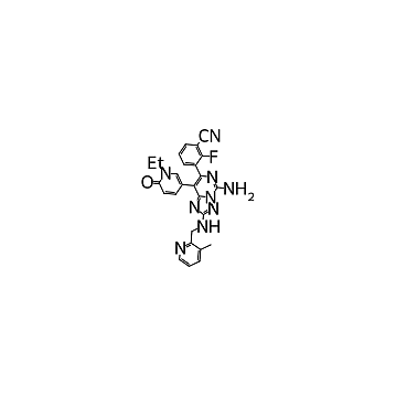 CCn1cc(-c2c(-c3cccc(C#N)c3F)nc(N)n3nc(NCc4ncccc4C)nc23)ccc1=O